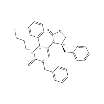 O=C(OCc1ccccc1)[C@H](CCCF)[C@@H](C(=O)N1C(=O)OC[C@H]1Cc1ccccc1)c1ccccc1